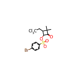 CC1(C)C(=O)C(OS(=O)(=O)c2ccc(Br)cc2)C1CC(Cl)(Cl)Cl